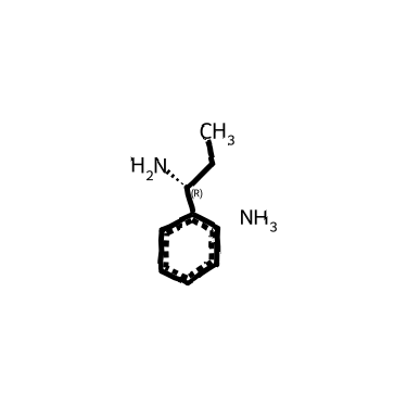 CC[C@@H](N)c1ccccc1.N